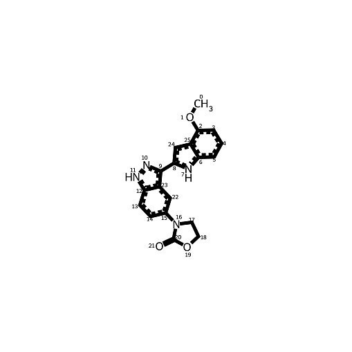 COc1cccc2[nH]c(-c3n[nH]c4ccc(N5CCOC5=O)cc34)cc12